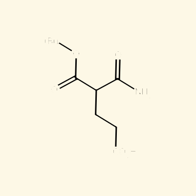 CC(C)(C)OC(=O)C(CCC(=O)O)C(N)=O